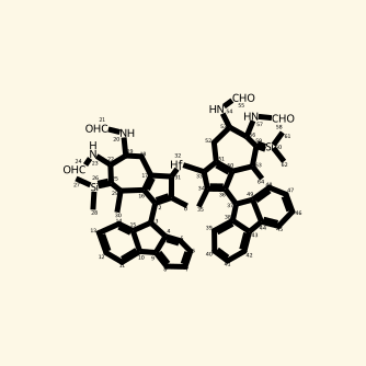 CC1=C(C2c3ccccc3-c3ccccc32)C2=C(CC(NC=O)C(NC=O)C(=[Si](C)C)C2C)[CH]1[Hf][CH]1C(C)=C(C2c3ccccc3-c3ccccc32)C2=C1CC(NC=O)C(NC=O)C(=[Si](C)C)C2C